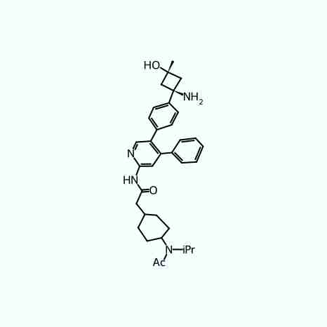 CC(=O)N(C(C)C)C1CCC(CC(=O)Nc2cc(-c3ccccc3)c(-c3ccc([C@]4(N)C[C@](C)(O)C4)cc3)cn2)CC1